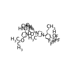 CCCc1cc(C(O)(C(F)(F)F)C(F)(F)F)ccc1N1CCN(C(=O)CN(C=O)C(=O)C(C)(NC)c2ccc(OC(C)C)cn2)[C@@H](C)C1